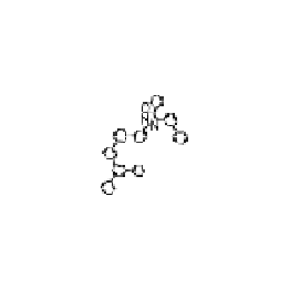 c1ccc(-c2cc(-c3ccccc3)cc(-c3cccc(-c4cccc(-c5cccc(-c6nc(-c7cccc(-c8ccccc8)c7)c7c(n6)oc6ccccc67)c5)c4)c3)c2)cc1